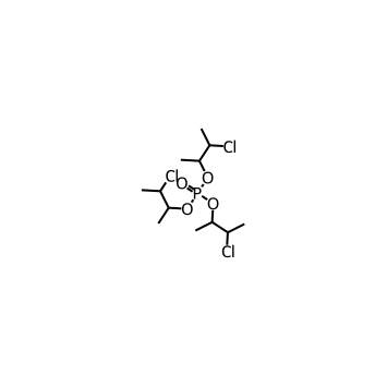 CC(Cl)C(C)OP(=O)(OC(C)C(C)Cl)OC(C)C(C)Cl